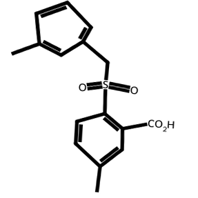 Cc1cccc(CS(=O)(=O)c2ccc(C)cc2C(=O)O)c1